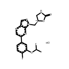 Cl.O=C1NC[C@H](Cn2ncc3ncc(-c4ccc(F)c(OC(F)F)c4)nc32)O1